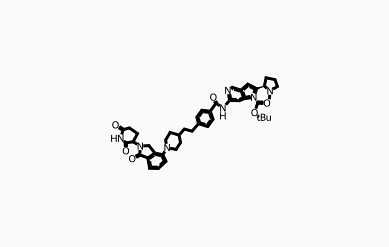 CN1CCC[C@@H]1c1cc2cnc(NC(=O)c3ccc(CCC4CCN(c5cccc6c5CN(C5CCC(=O)NC5=O)C6=O)CC4)cc3)cc2n1C(=O)OC(C)(C)C